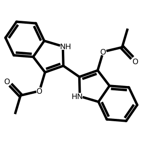 CC(=O)Oc1c(-c2[nH]c3ccccc3c2OC(C)=O)[nH]c2ccccc12